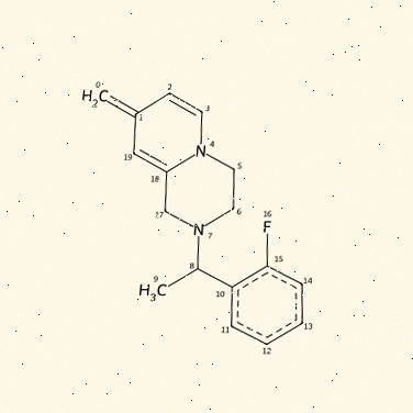 C=C1C=CN2CCN(C(C)c3ccccc3F)CC2=C1